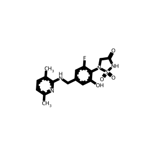 Cc1ccc(C)c(NCc2cc(O)c(N3CC(=O)NS3(=O)=O)c(F)c2)n1